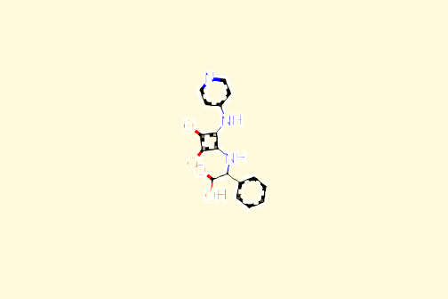 O=C(O)C(Nc1c(Nc2ccncc2)c(=O)c1=O)c1ccccc1